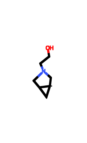 OCCN1C[C]2CC2C1